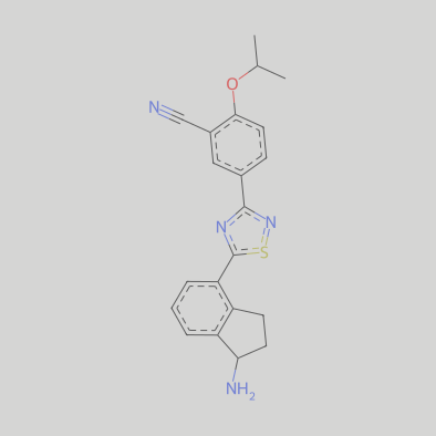 CC(C)Oc1ccc(-c2nsc(-c3cccc4c3CCC4N)n2)cc1C#N